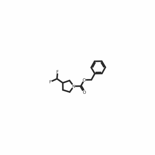 O=C(OCc1ccccc1)N1CCC(C(F)F)C1